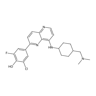 CN(C)CC1CCC(Nc2[c]cnc3ccc(-c4cc(F)c(O)c(Cl)c4)nc23)CC1